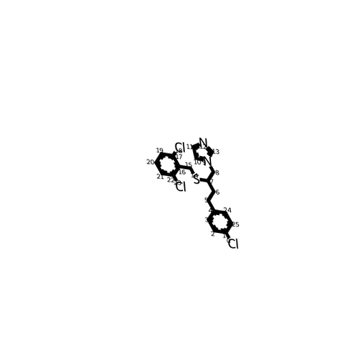 Clc1ccc(CCC(Cn2ccnc2)SCc2c(Cl)cccc2Cl)cc1